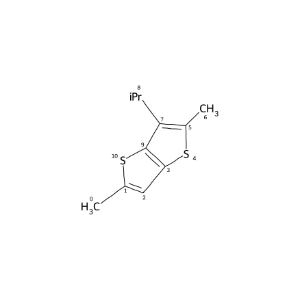 Cc1cc2sc(C)c(C(C)C)c2s1